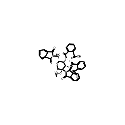 CO[C@@H]1O[C@H](C(O)N2C(=O)c3ccccc3C2=O)[C@@H](OC(=O)c2ccccc2C(=O)O)[C@H](OC(=O)c2ccccc2C(=O)O)[C@]1(O)N1C(=O)c2ccccc2C1=O